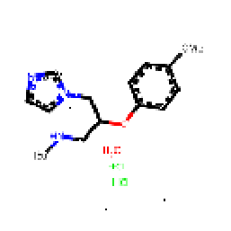 COc1ccc(OC(CNC(C)(C)C)Cn2ccnc2)cc1.Cl.Cl.O